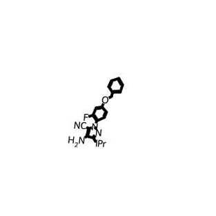 CC(C)c1nn(-c2ccc(OCc3ccccc3)cc2F)c(C#N)c1N